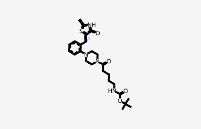 C=c1[nH]c(=O)/c(=C/c2ccccc2N2CCN(C(=O)CCCCNC(=O)OC(C)(C)C)CC2)s1